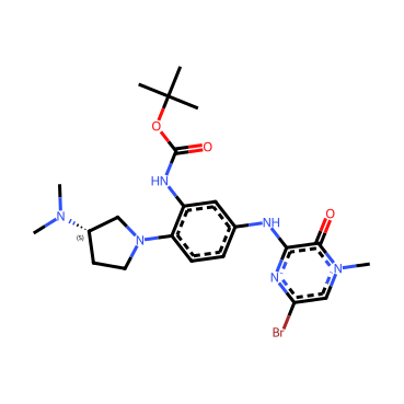 CN(C)[C@H]1CCN(c2ccc(Nc3nc(Br)cn(C)c3=O)cc2NC(=O)OC(C)(C)C)C1